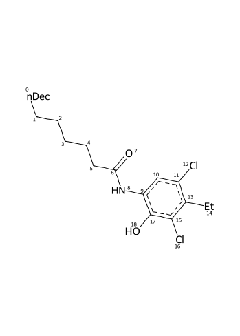 CCCCCCCCCCCCCCCC(=O)Nc1cc(Cl)c(CC)c(Cl)c1O